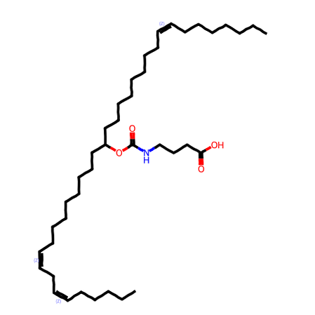 CCCCC/C=C\C/C=C\CCCCCCCCC(CCCCCCCC/C=C\CCCCCCC)OC(=O)NCCCC(=O)O